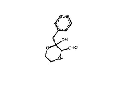 O=CC1NCCOC1(O)Cc1ccccc1